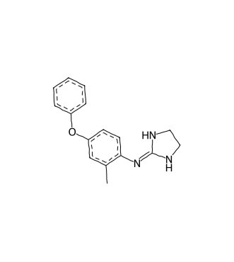 Cc1cc(Oc2ccccc2)ccc1N=C1NCCN1